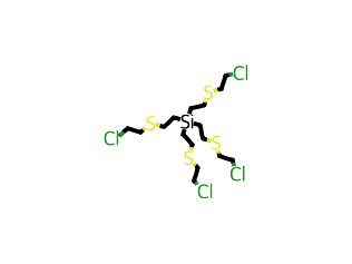 ClCCSCC[Si](CCSCCCl)(CCSCCCl)CCSCCCl